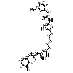 N=C(CCSCCC1NN=C(NC(=O)Cc2cccc(Br)c2)S1)SC(=N)NC(=O)Cc1cccc(Br)c1